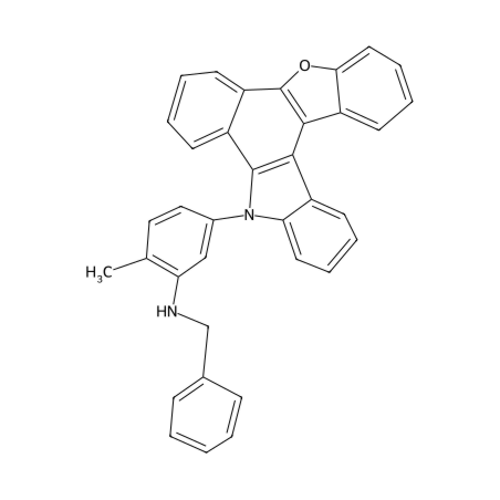 Cc1ccc(-n2c3ccccc3c3c4c5ccccc5oc4c4ccccc4c32)cc1NCc1ccccc1